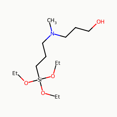 CCO[Si](CCCN(C)CCCO)(OCC)OCC